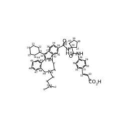 CN(C)CCN1CCn2c(c(C3CCCCC3)c3ccc(C(=O)NC4(C(=O)Nc5ccc(/C=C/C(=O)O)cc5)CCCC4)cc32)-c2ccccc2C1